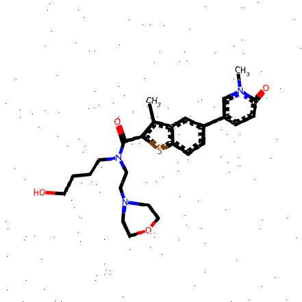 Cc1c(C(=O)N(CCCCO)CCN2CCOCC2)sc2ccc(-c3ccc(=O)n(C)c3)cc12